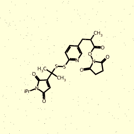 CC(Cc1ccc(SSC(C)(C)C2=CC(=O)N(C(C)C)C2=O)nc1)C(=O)ON1C(=O)CCC1=O